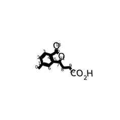 Cc1ccc2c(c1)C(CCC(=O)O)OC2=O